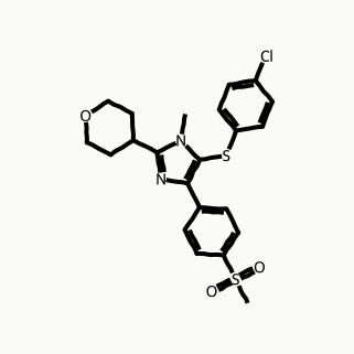 Cn1c(C2CCOCC2)nc(-c2ccc(S(C)(=O)=O)cc2)c1Sc1ccc(Cl)cc1